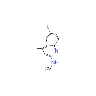 Cc1cc(NC(C)C)nc2ccc(I)cc12